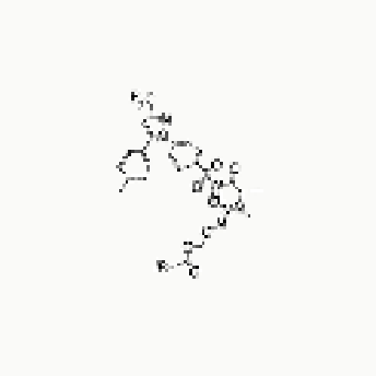 Cc1ccc(-c2cc(C(F)(F)F)nn2-c2ccc(S(=O)(=O)NC(=O)[C@H](C)N(C)[N+]([O-])=NOCOC(=O)C(C)C)cc2)cc1